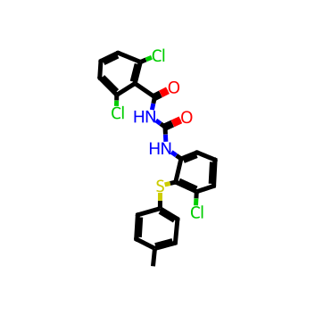 Cc1ccc(Sc2c(Cl)cccc2NC(=O)NC(=O)c2c(Cl)cccc2Cl)cc1